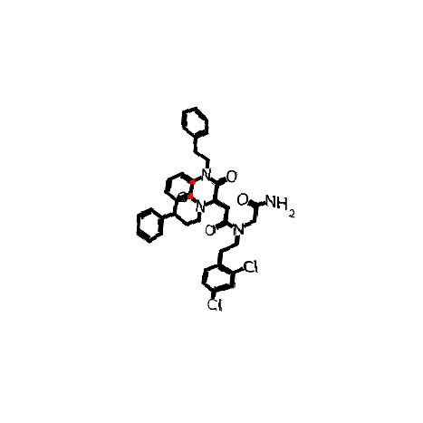 NC(=O)CN(CCc1ccc(Cl)cc1Cl)C(=O)CC1C(=O)N(CCc2ccccc2)CC(=O)N1CCC(c1ccccc1)c1ccccc1